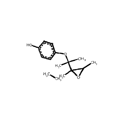 CC.CC1OC1(C)C(C)(C)Oc1ccc(O)cc1